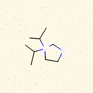 CC(C)[N+]1(C(C)C)CCNC1